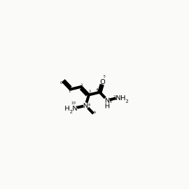 C=C/C=C(/C(=O)NN)N(C)N